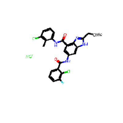 COCc1nc2c(C(=O)Nc3cccc(Cl)c3C)cc(NC(=O)c3cccc(F)c3Cl)cc2[nH]1.Cl